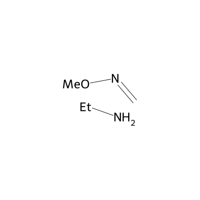 C=NOC.CCN